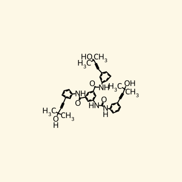 CC(C)(O)C#Cc1cccc(NC(=O)Nc2cc(C(=O)Nc3cccc(C#CC(C)(C)O)c3)cc(C(=O)Nc3cccc(C#CC(C)(C)O)c3)c2)c1